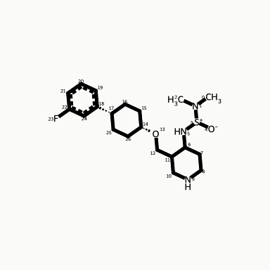 CN(C)[S+]([O-])NC1CCNCC1CO[C@H]1CC[C@@H](c2cccc(F)c2)CC1